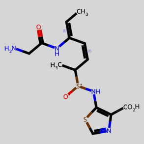 C/C=C(\C=C/C(C)[S+]([O-])Nc1scnc1C(=O)O)NC(=O)CN